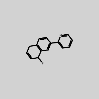 FC1[C]=CCc2ccc(-c3ccccn3)cc21